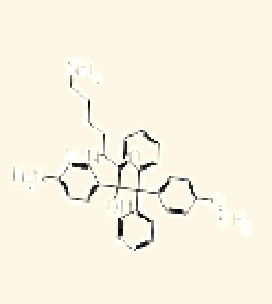 COc1ccc(C(c2ccccc2)(c2ccccc2)C(O)(C(=O)C(N)CCCCN)c2ccc(N)cc2)cc1